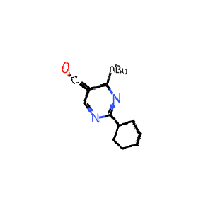 CCCCC1N=C(C2CCCCC2)N=CC1=C=O